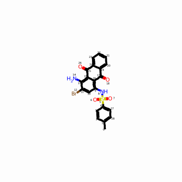 Cc1ccc(S(=O)(=O)Nc2cc(Br)c(N)c3c2C(=O)c2ccccc2C3=O)cc1